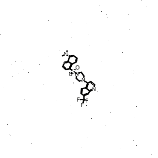 CN(C)c1cccc2c(S(=O)(=O)N3CCN(c4ccnc5cc(C(F)(F)F)ccc45)CC3)cccc12